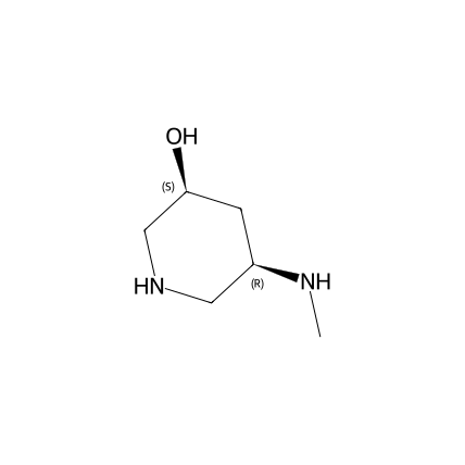 CN[C@H]1CNC[C@@H](O)C1